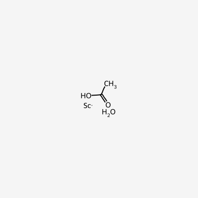 CC(=O)O.O.[Sc]